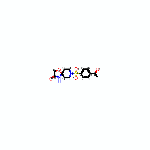 CC(=O)c1ccc(S(=O)(=O)N2CCC3(CC2)NC(=O)CO3)cc1